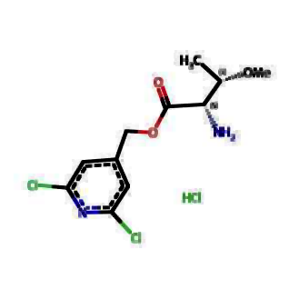 CO[C@@H](C)[C@H](N)C(=O)OCc1cc(Cl)nc(Cl)c1.Cl